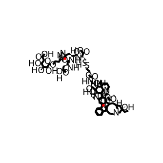 CC[C@]1(O)C[C@H]2CN(CCc3c([nH]c4ccccc34)[C@@](C(=O)OC)(c3cc4c(cc3OC)N(C)[C@H]3[C@@](O)(C(=O)NNC(=O)OCCSSC[C@H](NC(=O)[C@H](Cc5cn(CCOC6OC(C(=O)O)C(O)[C@H](O)[C@@H]6O)nn5)NC(=O)[C@H](CC(=O)O)NC)C(=O)O)[C@H](O)[C@]5(CC)C=CCN6CC[C@]43[C@@H]65)C2)C1